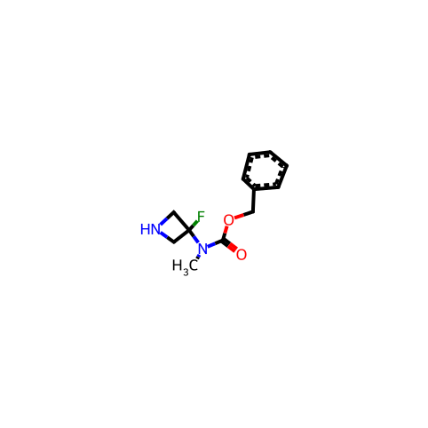 CN(C(=O)OCc1ccccc1)C1(F)CNC1